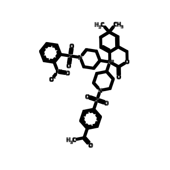 CC(=O)c1ccc(S(=O)(=O)N2CCC([N+]3(C4CCN(S(=O)(=O)c5ccccc5[N+](=O)[O-])CC4)C(=O)OCC4=CC(C)(C)CC=C43)CC2)cc1